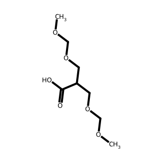 COCOCC(COCOC)C(=O)O